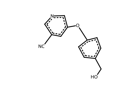 N#Cc1cncc(Oc2ccc(CO)cc2)c1